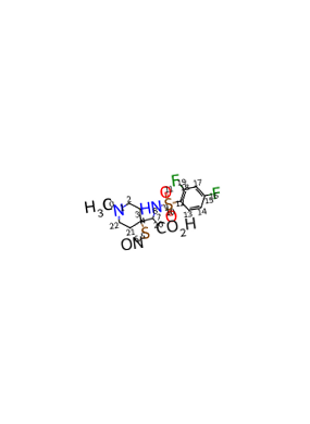 CN1CCC(SN=O)(C(NS(=O)(=O)c2ccc(F)cc2F)C(=O)O)CC1